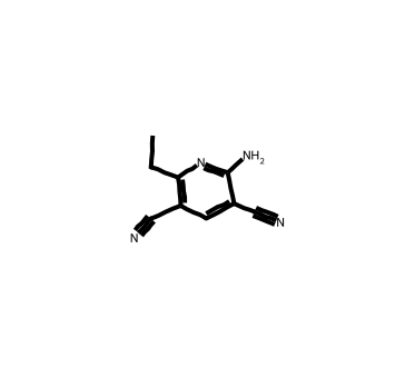 CCc1nc(N)c(C#N)cc1C#N